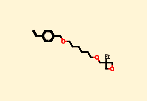 C=Cc1ccc(COCCCCCCOCC2(CC)COC2)cc1